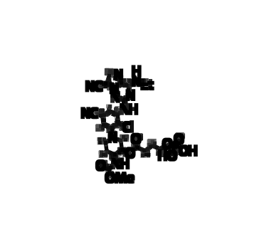 CCNc1nc(Nc2cc(C#N)cc(N3CC[C@@H](NC(=O)OC)[C@H](OC(=O)CCCOP(=O)(O)O)C3)c2Cl)nn2c(C#N)cnc12